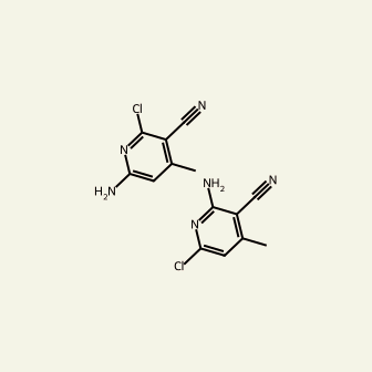 Cc1cc(Cl)nc(N)c1C#N.Cc1cc(N)nc(Cl)c1C#N